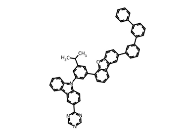 CC(C)c1cc(-c2cccc3c2oc2ccc(-c4cccc(-c5cccc(-c6ccccc6)c5)c4)cc23)cc(-n2c3ccccc3c3cc(-c4ncncn4)ccc32)c1